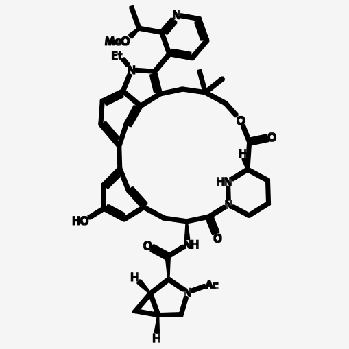 CCn1c(-c2cccnc2[C@H](C)OC)c2c3cc(ccc31)-c1cc(O)cc(c1)C[C@H](NC(=O)[C@@H]1[C@H]3C[C@H]3CN1C(C)=O)C(=O)N1CCC[C@H](N1)C(=O)OCC(C)(C)C2